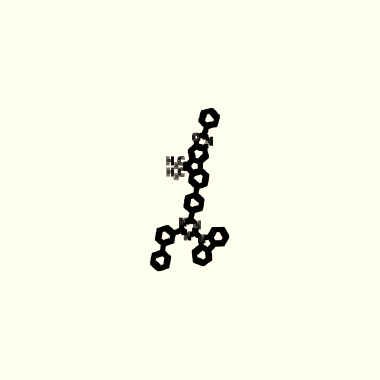 CC1(C)c2cc(-c3ccc(-c4nc(-c5cccc(-c6ccccc6)c5)nc(-n5c6ccccc6c6ccccc65)n4)cc3)ccc2-c2cc3nc(-c4ccccc4)oc3cc21